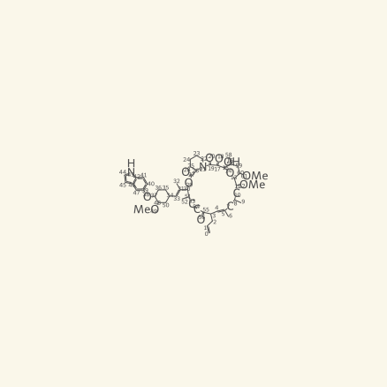 C=CCC1/C=C(\C)CC(C)CC(OC)C2OC(O)(C(=O)C(=O)N3CCCCC3C(=O)OC(C(C)=CC3CCC(Oc4ccc5[nH]ccc5c4)C(OC)C3)C(C)CCC1=O)C(C)CC2OC